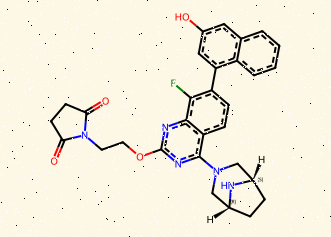 O=C1CCC(=O)N1CCOc1nc(N2C[C@H]3CC[C@@H](C2)N3)c2ccc(-c3cc(O)cc4ccccc34)c(F)c2n1